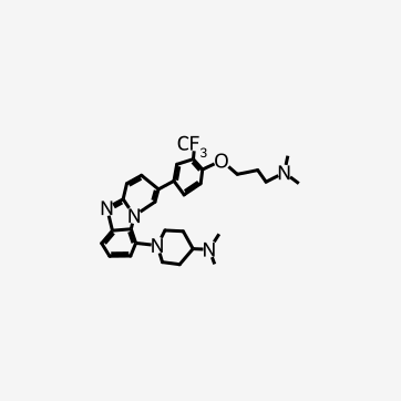 CN(C)CCCOc1ccc(-c2ccc3nc4cccc(N5CCC(N(C)C)CC5)c4n3c2)cc1C(F)(F)F